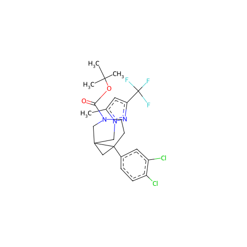 Cc1cc(C(F)(F)F)nn1CC12CN(C(=O)OC(C)(C)C)CCC1(c1ccc(Cl)c(Cl)c1)C2